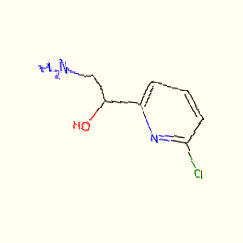 NCC(O)c1cccc(Cl)n1